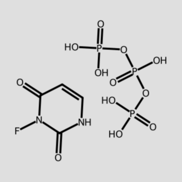 O=P(O)(O)OP(=O)(O)OP(=O)(O)O.O=c1cc[nH]c(=O)n1F